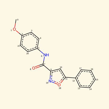 COc1ccc(NC(=O)c2cc(-c3ccccc3)on2)cc1